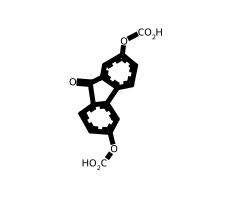 O=C(O)Oc1ccc2c(c1)C(=O)c1ccc(OC(=O)O)cc1-2